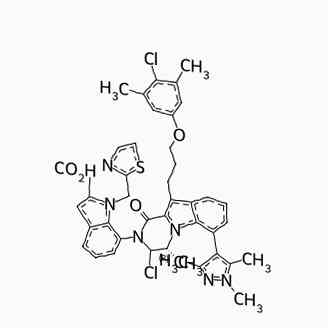 Cc1cc(OCCCc2c3n(c4c(-c5c(C)nn(C)c5C)cccc24)[C@H](C)C(Cl)N(c2cccc4cc(C(=O)O)n(Cc5nccs5)c24)C3=O)cc(C)c1Cl